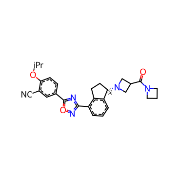 CC(C)Oc1ccc(-c2nc(-c3cccc4c3CC[C@@H]4N3CC(C(=O)N4CCC4)C3)no2)cc1C#N